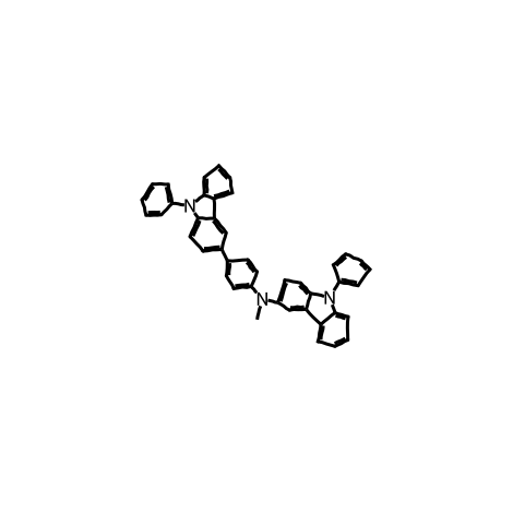 CN(c1ccc(-c2ccc3c(c2)c2ccccc2n3-c2ccccc2)cc1)c1ccc2c(c1)c1ccccc1n2-c1ccccc1